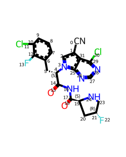 N#Cc1cn([C@@H](Cc2cccc(Cl)c2F)C(=O)NC(=O)[C@@H]2C[C@@H](F)CN2)c2ncnc(Cl)c12